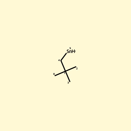 CC(C)(C)[CH2][SnH]